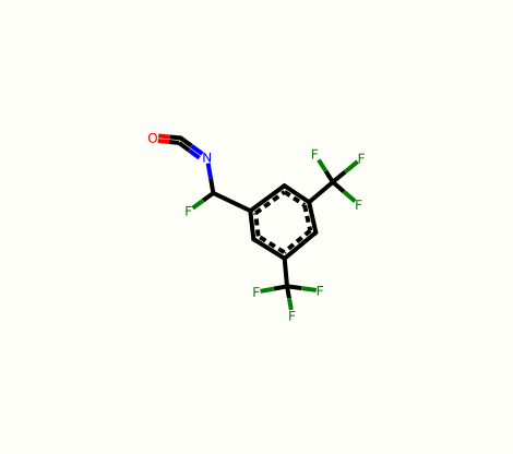 O=C=NC(F)c1cc(C(F)(F)F)cc(C(F)(F)F)c1